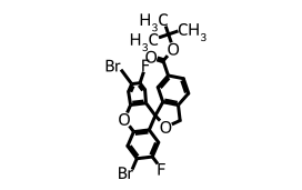 CC(C)(C)OC(=O)c1ccc2c(c1)C1(OC2)c2cc(F)c(Br)cc2Oc2cc(Br)c(F)cc21